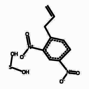 C=CCc1ccc([N+](=O)[O-])cc1[N+](=O)[O-].OSO